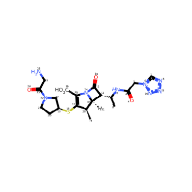 CC(NC(=O)Cn1cnnn1)[C@H]1C(=O)N2C(C(=O)O)=C(S[C@H]3CCN(C(=O)CN)C3)[C@H](C)[C@H]12